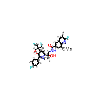 COc1cc(C(=O)NCC(O)(c2cc3c(c(-c4ccc(F)cc4)n2)OCC3(CF)CF)C(F)(F)F)cc2cc(C)c(F)nc12